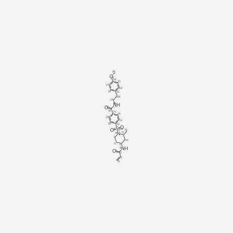 C=CC(=O)NC1CCN(S(=O)(=O)c2ccc(C(=O)NCCc3ccc(OC)cc3)cc2)C(C)C1